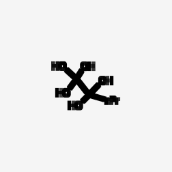 CCCC(O)(O)C(O)(O)O